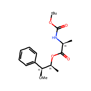 CO[C@@H](c1ccccc1)[C@H](C)OC(=O)[C@H](C)NC(=O)OC(C)(C)C